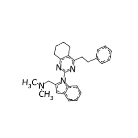 CN(C)Cc1cc2ccccc2n1-c1nc2c(c(CCc3ccccc3)n1)CCCC2